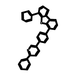 c1ccc(-c2ccc(-c3ccc(-c4cccc5c4oc4c(-c6ccccc6)cccc45)cc3)cn2)cc1